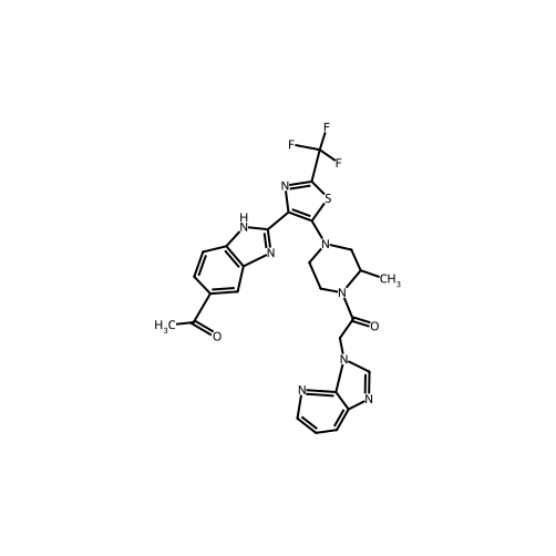 CC(=O)c1ccc2[nH]c(-c3nc(C(F)(F)F)sc3N3CCN(C(=O)Cn4cnc5cccnc54)C(C)C3)nc2c1